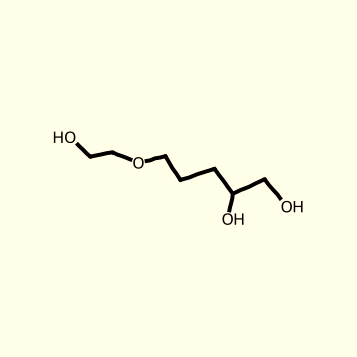 OCCOCCCC(O)CO